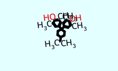 Cc1cc(C2(c3cc(C)c(O)c(C)c3)CCC(C(C)C)CC2)cc(C)c1O